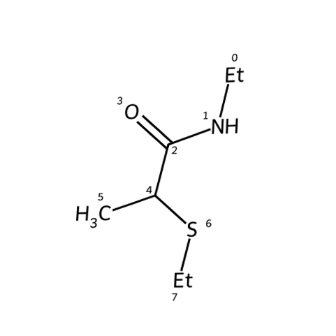 CCNC(=O)C(C)SCC